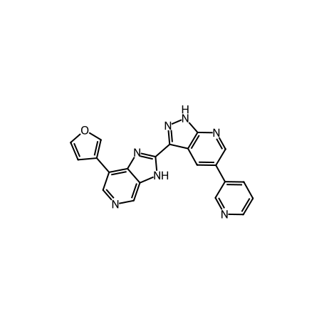 c1cncc(-c2cnc3[nH]nc(-c4nc5c(-c6ccoc6)cncc5[nH]4)c3c2)c1